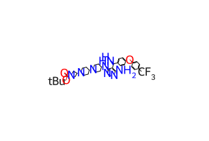 CC(C)(C)OC(=O)N1CC(N2CCC(N3CCC(Nc4ncnc(N)c4C(=N)c4ccc(Oc5ccc(C(F)(F)F)cc5)cc4)CC3)CC2)C1